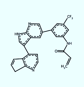 C=CC(=O)Nc1cc(-c2cnc3[nH]cc(-c4ccnc5c4C=CC5)c3c2)cc(C(F)(F)F)c1